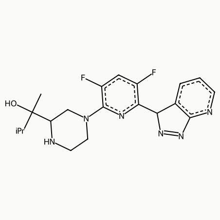 CC(C)C(C)(O)C1CN(c2nc(C3N=Nc4ncccc43)c(F)cc2F)CCN1